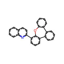 c1ccc2c(c1)Oc1c(-c3ccc4ccccc4n3)cccc1-c1ccccc1-2